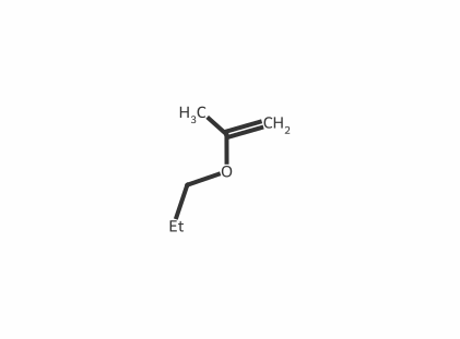 C=C(C)OCCC